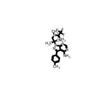 C=C(N(C)CC(C)(C)n1nc(-c2ccc(C)cc2)c2c(N)ncnc21)C(F)(F)F